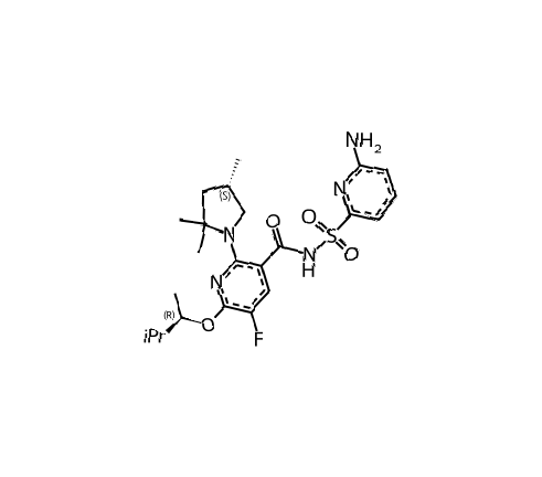 CC(C)[C@@H](C)Oc1nc(N2C[C@@H](C)CC2(C)C)c(C(=O)NS(=O)(=O)c2cccc(N)n2)cc1F